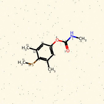 CNC(=O)Oc1cc(C)c(SC)c(C)c1